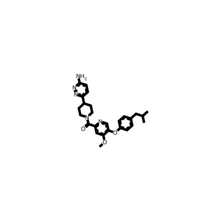 COc1cc(C(=O)N2CCC(c3ccc(N)nn3)CC2)ncc1Oc1ccc(CC(C)C)cc1